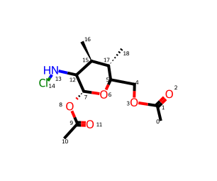 CC(=O)OCC1O[C@H](OC(C)=O)C(NCl)[C@@H](C)[C@@H]1C